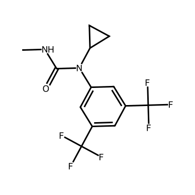 CNC(=O)N(c1cc(C(F)(F)F)cc(C(F)(F)F)c1)C1CC1